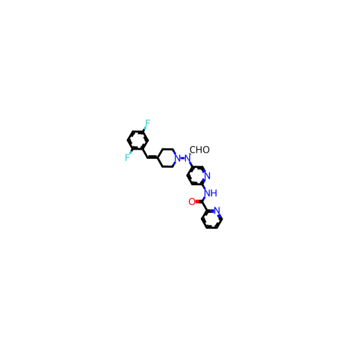 O=CN(c1ccc(NC(=O)c2ccccn2)nc1)N1CCC(=Cc2cc(F)ccc2F)CC1